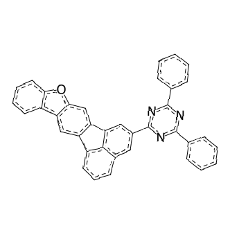 c1ccc(-c2nc(-c3ccccc3)nc(-c3cc4c5c(cccc5c3)-c3cc5c(cc3-4)oc3ccccc35)n2)cc1